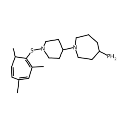 CC1=CC(C)=C(SN2CCC(N3CCCC(P)CC3)CC2)C(C)C=C1